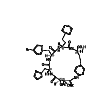 CC(=O)O[C@H]1C(=O)Nc2ccc(cc2)C[C@H](C(=O)O)NC(=O)[C@@H](CCc2ccccc2)NC(=O)[C@H](Cc2ccc(Br)cc2)NC(=O)[C@@H](Cc2cccs2)NC(=O)[C@@H]1OC(C)=O